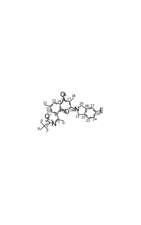 C/C(=N/[S@@+]([O-])C(C)(C)C)c1cc(C)cc2c(=O)c(C)c(N3Cc4ccc(F)cc4C3)oc12